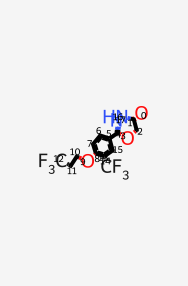 O=C1COC(c2ccc(OCCC(F)(F)F)c(C(F)(F)F)c2)=NN1